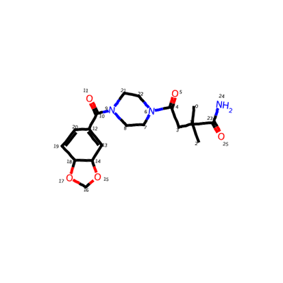 CC(C)([CH]C(=O)N1CCN(C(=O)C2=CC3OCOC3C=C2)CC1)C(N)=O